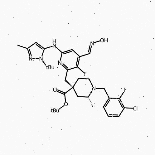 Cc1cc(Nc2cc(/C=N/O)c(F)c(C[C@@]3(C(=O)OC(C)(C)C)CCN(Cc4cccc(Cl)c4F)[C@H](C)C3)n2)n(C(C)(C)C)n1